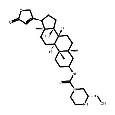 C[C@]12CC[C@H](NC(=O)N3CCN[C@@H](CO)C3)C[C@H]1CC[C@@H]1[C@@H]2CC[C@]2(C)[C@@H](C3=CC(=O)OC3)CC[C@]12O